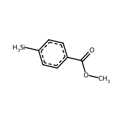 COC(=O)c1ccc([SiH3])cc1